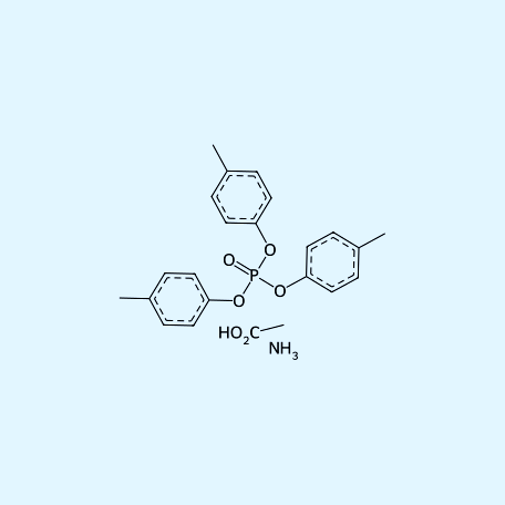 CC(=O)O.Cc1ccc(OP(=O)(Oc2ccc(C)cc2)Oc2ccc(C)cc2)cc1.N